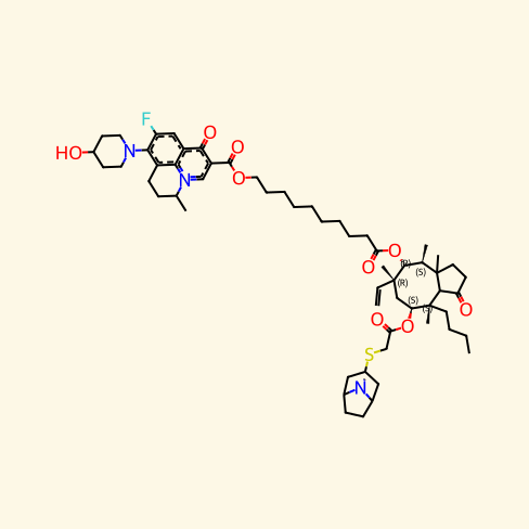 C=C[C@@]1(C)C[C@H](OC(=O)CSC2CC3CCC(C2)N3C)[C@@](C)(CCCC)C2C(=O)CCC2(C)[C@H](C)[C@H]1OC(=O)CCCCCCCCCOC(=O)c1cn2c3c(c(N4CCC(O)CC4)c(F)cc3c1=O)CCC2C